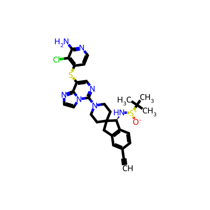 C#Cc1ccc2c(c1)CC1(CCN(c3ncc(Sc4ccnc(N)c4Cl)c4nccn34)CC1)[C@@H]2N[S+]([O-])C(C)(C)C